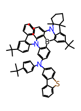 Cc1cc2c3c(c1)N1c4c(cc(C(C)(C)C)cc4C4(C)CCCCC14C)B3c1ccc(N(c3ccc(C(C)(C)C)cc3)c3ccc4sc5ccccc5c4c3)cc1N2c1ccc(C(C)(C)C)cc1-c1ccccc1